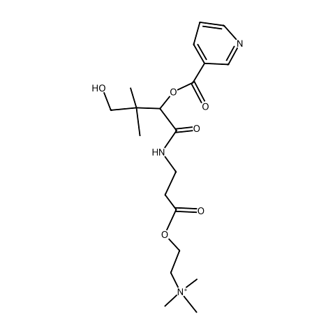 CC(C)(CO)C(OC(=O)c1cccnc1)C(=O)NCCC(=O)OCC[N+](C)(C)C